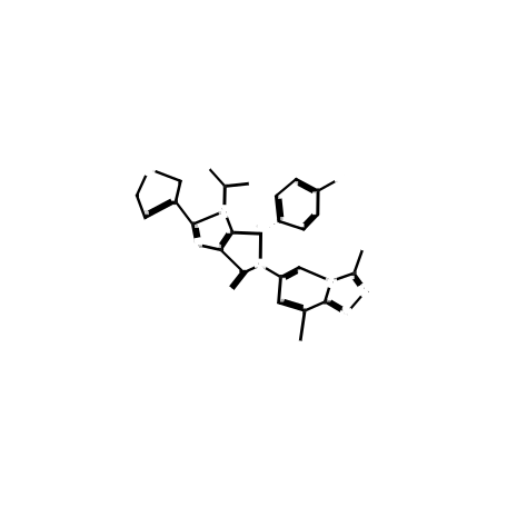 Cc1cc(N2C(=O)c3nc(C4=CCOC4)n(C(C)C)c3[C@@H]2c2ccc(Cl)cc2)cn2c(C)nnc12